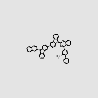 Cc1cc(-c2nc(-n3c4ccccc4c4cc(-c5ccc6c(c5)c5ccccc5n6-c5ccc6ccccc6c5)ccc43)nc3ccccc23)ccc1-c1ccccc1